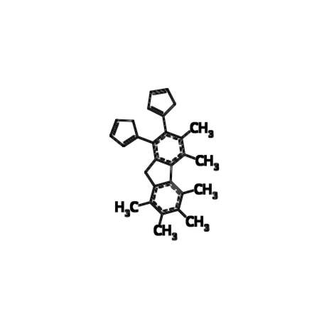 Cc1c(C)c(C)c2c(c1C)Cc1c(C3=CC=CC3)c(C3=CC=CC3)c(C)c(C)c1-2